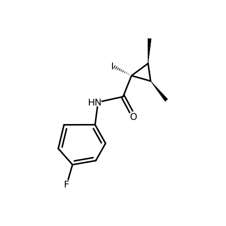 C[C@@H]1[C@H](C)[C@]1(I)C(=O)Nc1ccc(F)cc1